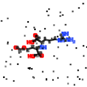 N=C(N)NCCCC(NC(CCOC=O)C(=O)O)C(=O)O